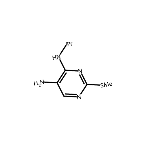 CSc1ncc(N)c(NC(C)C)n1